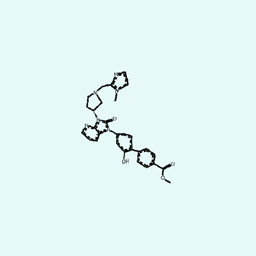 COC(=O)c1ccc(-c2ccc(-n3c(=O)n([C@H]4CCN(Cc5nccn5C)C4)c4ncccc43)cc2O)cc1